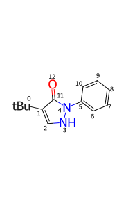 CC(C)(C)c1c[nH]n(-c2ccccc2)c1=O